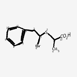 CC(SC(Br)Cc1ccccc1)C(=O)O